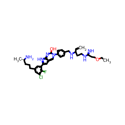 C=CC(CCNC(=N)CCOCC)NCc1ccc(N2C=c3cc(-c4cc(CCC[C@H](C)N)cc(Cl)c4F)[nH]c3=NC2O)cc1